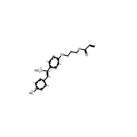 C=CC(=O)OCCCOc1ccc(C(=Cc2ccc(C#N)cc2)C(=O)O)cc1